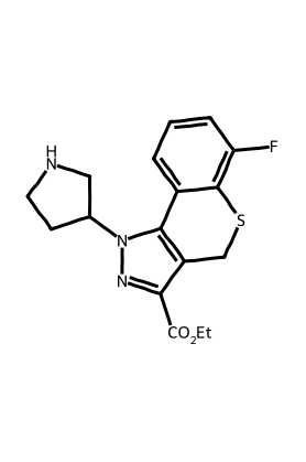 CCOC(=O)c1nn(C2CCNC2)c2c1CSc1c(F)cccc1-2